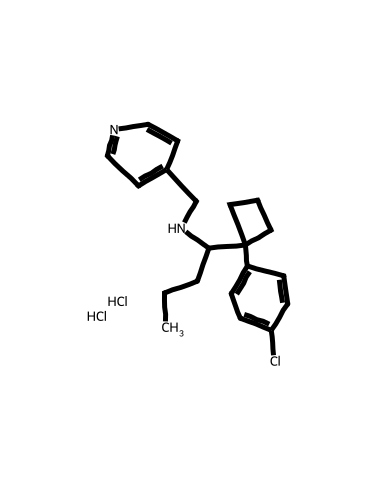 CCCC(NCc1ccncc1)C1(c2ccc(Cl)cc2)CCC1.Cl.Cl